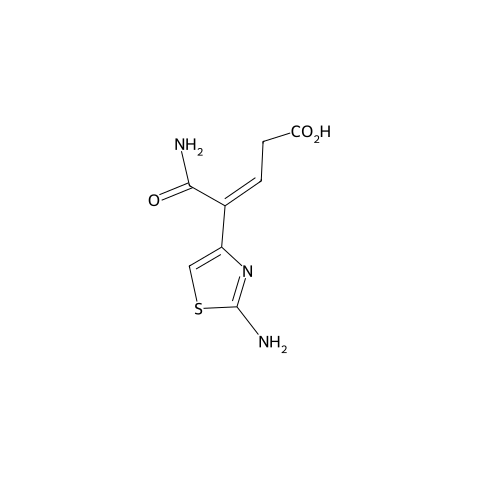 NC(=O)C(=CCC(=O)O)c1csc(N)n1